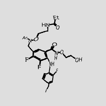 CCC(=O)NCCON(Cc1cc(C(=O)NOCCO)c(Nc2ccc(I)cc2F)c(F)c1F)C(C)=O